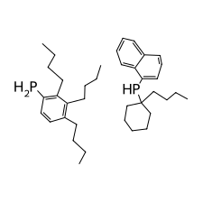 CCCCC1(Pc2cccc3ccccc23)CCCCC1.CCCCc1ccc(P)c(CCCC)c1CCCC